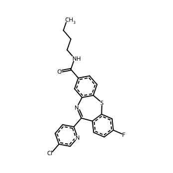 CCCCNC(=O)c1ccc2c(c1)N=C(c1ccc(Cl)cn1)c1ccc(F)cc1S2